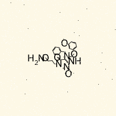 COc1cccc(OC2NC(N(C)C=O)=C(C(=O)N(C)CCCON)N2Cc2ccccc2)c1